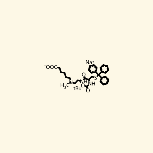 CN(CCCCCC(=O)[O-])CCNC(=O)C(CSC(c1ccccc1)(c1ccccc1)c1ccccc1)NC(=O)OC(C)(C)C.[Na+]